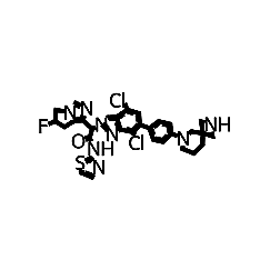 O=C(Nc1nccs1)C(c1ncn2c1CC(F)C2)n1cc2c(Cl)cc(-c3ccc(N4CCCC5(CNC5)C4)cc3)c(Cl)c2n1